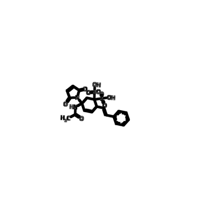 CC(=O)NC1(N2C(=O)C=CC2=O)C=CC(C=Cc2ccccc2)C(S(=O)(=O)O)(S(=O)(=O)O)C1